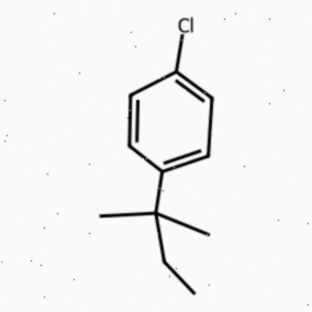 CCC(C)(C)c1ccc(Cl)cc1